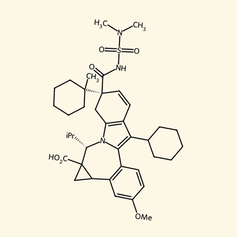 COc1ccc2c(c1)C1CC1(C(=O)O)[C@H](C(C)C)n1c3c(c(C4CCCCC4)c1-2)C=C[C@@](C(=O)NS(=O)(=O)N(C)C)(C1(C)CCCCC1)C3